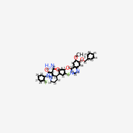 COc1cc2c(Oc3ccc(C4CCCn5c4c(C(N)=O)c(=O)n5-c4ccccc4F)cc3F)ncnc2cc1OCc1ccccc1